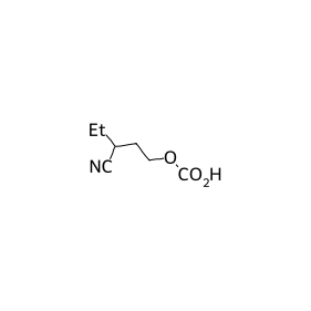 CCC(C#N)CCOC(=O)O